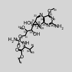 CCOC(=O)C(NP(N)(=O)OCC(OC)C(O)[C@]1(O)C(C)C1/C=N\c1c(N)nc(N)nc1OC)C(C)C